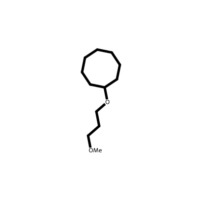 COCCCOC1CCCCCCC1